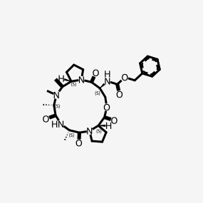 C=C1[C@@H]2CCCN2C(=O)[C@@H](NC(=O)OCc2ccccc2)COC(=O)[C@@H]2CCCN2C(=O)[C@H](C)NC(=O)[C@H](C)N1C